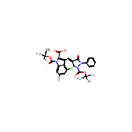 CC(C)(C)OC(=O)N1C/C(=C\c2c(C(=O)O)n(C(=O)OC(C)(C)C)c3cc(Cl)cc(Cl)c23)C(=O)N1c1ccccc1